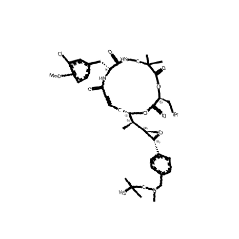 COc1ccc(C[C@H]2NC(=O)C=CC[C@@H]([C@H](C)[C@H]3O[C@@H]3c3ccc(CN(C)CC(C)(C)S)cc3)OC(=O)[C@H](CC(C)C)OC(=O)C(C)(C)CNC2=O)cc1Cl